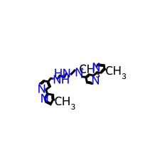 Cc1ccnc(-c2cc(CNCCNCCN(C)Cc3ccnc(-c4cc(C)ccn4)c3)ccn2)c1